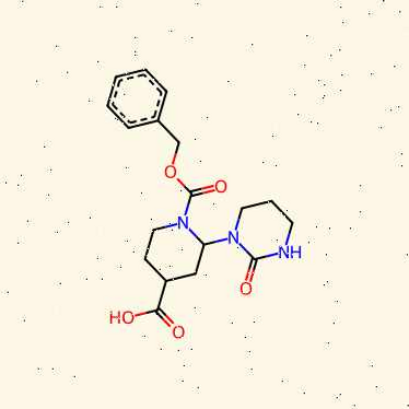 O=C(O)C1CCN(C(=O)OCc2ccccc2)C(N2CCCNC2=O)C1